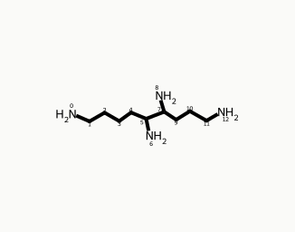 NCCCCC(N)C(N)CCCN